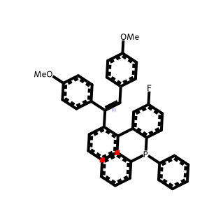 COc1ccc(/C=C(\c2ccc(OC)cc2)c2ccccc2-c2cc(F)ccc2P(c2ccccc2)c2ccccc2)cc1